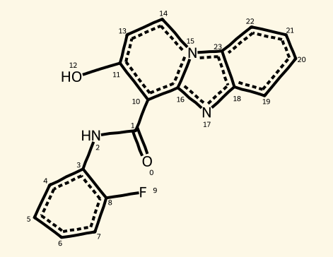 O=C(Nc1ccccc1F)c1c(O)ccn2c1nc1ccccc12